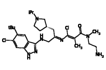 C/C(C(=O)N(C)CCN)=C(Cl)\N=C(\CNc1n[nH]c2cc(Cl)c(C(C)(C)C)cc12)C[C@@H]1CCN(C(C)C)C1